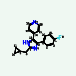 Fc1ccc(-c2nc(CC3CC3)[nH]c2-c2ccncc2)cc1